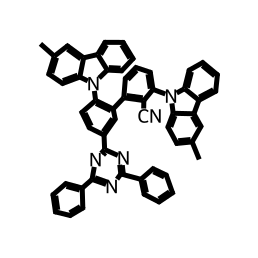 Cc1ccc2c(c1)c1ccccc1n2-c1ccc(-c2nc(-c3ccccc3)nc(-c3ccccc3)n2)cc1-c1cccc(-n2c3ccccc3c3cc(C)ccc32)c1C#N